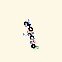 NC(=O)C(NC1CCC(c2c[nH]c3cccnc23)CC1)C1CCN(C(=O)Nc2ccc(Cl)c(Cl)c2)CC1